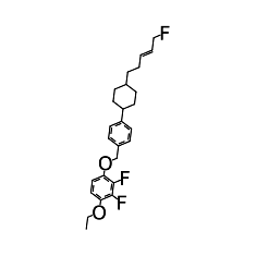 CCOc1ccc(OCc2ccc(C3CCC(CC/C=C/CF)CC3)cc2)c(F)c1F